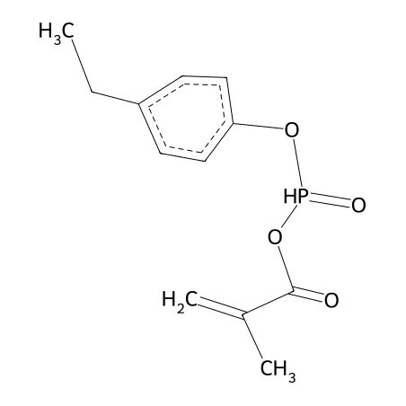 C=C(C)C(=O)O[PH](=O)Oc1ccc(CC)cc1